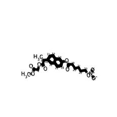 COC(=O)COC(=O)C(C)c1ccc2cc(OC(=O)CCCCCO[N+](=O)[O-])ccc2c1